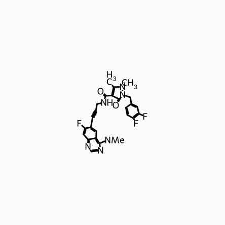 CNc1ncnc2cc(F)c(C#CCNC(=O)c3c(C)n(C)n(Cc4ccc(F)c(F)c4)c3=O)cc12